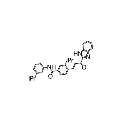 CC(C)c1cccc(NC(=O)c2ccc(C=CC(=O)c3nc4ccccc4[nH]3)c(C(C)C)c2)c1